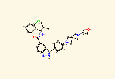 CC(C)[C@H](NC(=O)c1ccc2[nH]nc(-c3ccc(N4CC5(C4)CN(C4COC4)C5)cc3)c2c1)c1ccccc1Cl